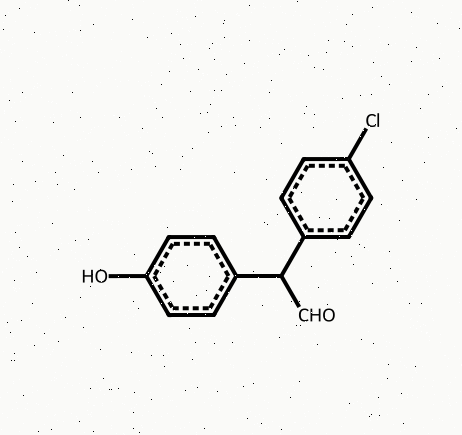 O=CC(c1ccc(O)cc1)c1ccc(Cl)cc1